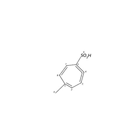 CC1=CC=C=C(S(=O)(=O)O)C=C1